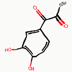 CC(C)(C)C(=O)C(=O)c1ccc(O)c(O)c1